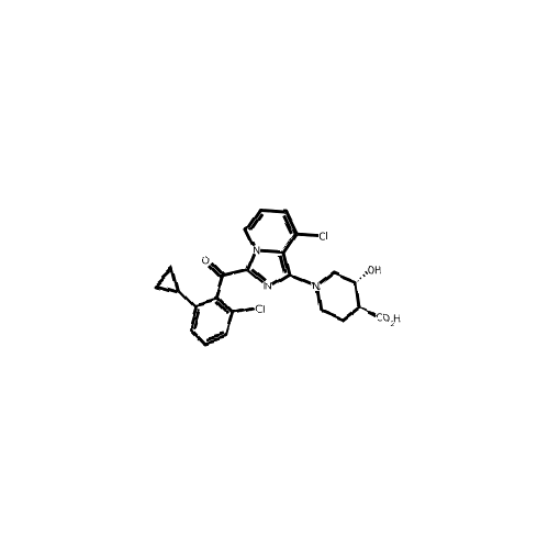 O=C(c1c(Cl)cccc1C1CC1)c1nc(N2CC[C@H](C(=O)O)[C@@H](O)C2)c2c(Cl)cccn12